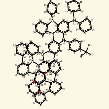 FC(F)(F)c1ccc(N2c3cc4c(cc3B3c5ccccc5N(c5ccccc5)c5cc(N(c6ccccc6)c6ccccc6)cc2c53)B2c3ccccc3N(c3c(-c5ccccc5)cccc3-c3ccccc3)c3cc(N(c5ccccc5)c5c(-c6ccccc6)cccc5-c5ccccc5)cc(c32)S4)cc1